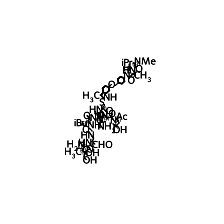 CC[C@H](C)[C@H](NC(=O)CNCC(C=O)NC(=O)[C@@H](N)[C@@H](C)[C@@H](O)CO)C(=O)NCC(=O)N[C@@H](CSc1[nH]c2cc(OCc3ccc(NC(=O)[C@H](C)NC(=O)[C@@H](NC)C(C)C)cc3)ccc2c1C)C(=O)N[C@@H](CC(N)=O)C(=O)N1C[C@H](O)C[C@H]1C(C)=O